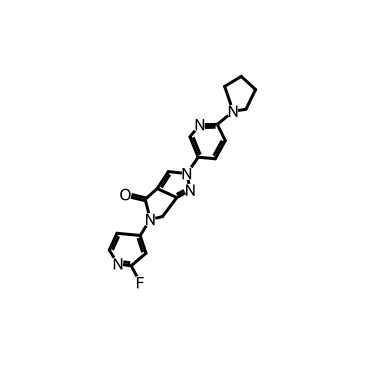 O=C1c2cn(-c3ccc(N4CCCC4)nc3)nc2CN1c1ccnc(F)c1